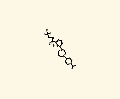 CC(C)N1CCC(N2CCCN(C3C=CC=C(C(=O)NCC(F)(F)F)N3)CC2)CC1